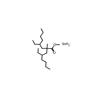 CCCCC(CC)CC(C)(CC(CC)CCCC)C(=O)OC.[SnH2]